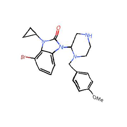 COc1ccc(CN2CCNCC2n2c(=O)n(C3CC3)c3c(Br)cccc32)cc1